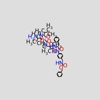 CC[C@H](C)[C@@H]([C@@H](CC(=O)N1CCC[C@H]1[C@H](OC)[C@@H](C)C(=O)N[C@@H](Cc1ccccc1)C(=O)Nc1ccc(CNC(=O)OCc2ccccc2)cc1)OC)N(C)C(=O)[C@@H](N)C(C)C